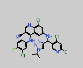 CC(C)n1cc(C(Nc2cc(Cl)c3ncc(C#N)c(Nc4ccc(F)c(Cl)c4)c3c2)c2cnc(Cl)cc2Cl)nn1